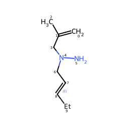 C=C(C)CN(N)C/C=C/CC